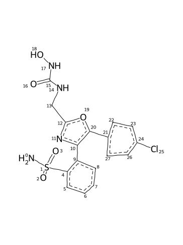 NS(=O)(=O)c1ccccc1-c1nc(CNC(=O)NO)oc1-c1ccc(Cl)cc1